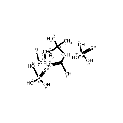 CC.CC(=O)NC(C)(C)C.CCC.OP(O)(O)=S.OP(O)(O)=S